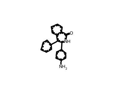 Nc1ccc(-c2[nH]c(=O)c3ccccc3c2-c2ccccc2)cc1